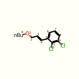 [CH2]CCCOC/C=C/c1cccc(Cl)c1Cl